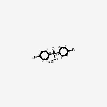 CCOP(=O)(c1ccc(F)cc1)c1ccc(F)cc1